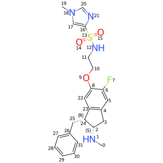 CN[C@H]1Cc2cc(F)c(OCCNS(=O)(=O)c3cn(C)cn3)cc2[C@H]1Cc1ccccc1